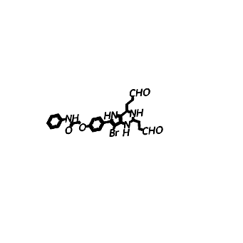 O=CCCC1Nc2c([nH]c(-c3ccc(OCC(=O)Nc4ccccc4)cc3)c2Br)C(CCC=O)N1